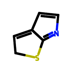 C1=CC2=CCSC2=N1